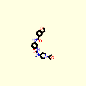 CN(c1nc2cc(NC(=O)c3ccc4c(c3)CCO4)ccc2o1)C1CCN(C2COC2)CC1